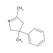 CC1=NCC(C)(c2ccccc2)C1